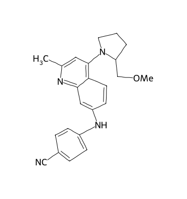 COCC1CCCN1c1cc(C)nc2cc(Nc3ccc(C#N)cc3)ccc12